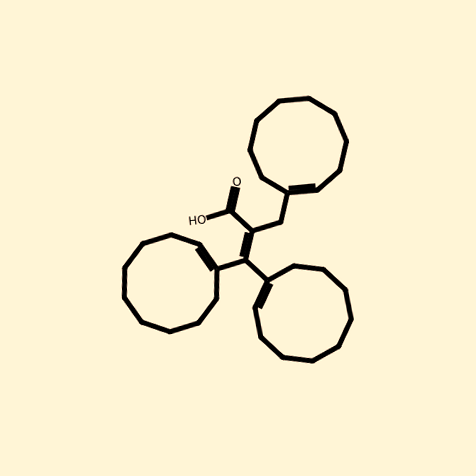 O=C(O)C(CC1=CCCCCCCCC1)=C(C1=CCCCCCCCC1)C1=CCCCCCCCC1